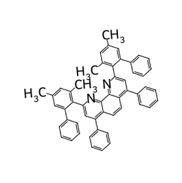 Cc1cc(C)c(-c2cc(-c3ccccc3)c3ccc4c(-c5ccccc5)cc(-c5c(C)cc(C)cc5-c5ccccc5)nc4c3n2)c(-c2ccccc2)c1